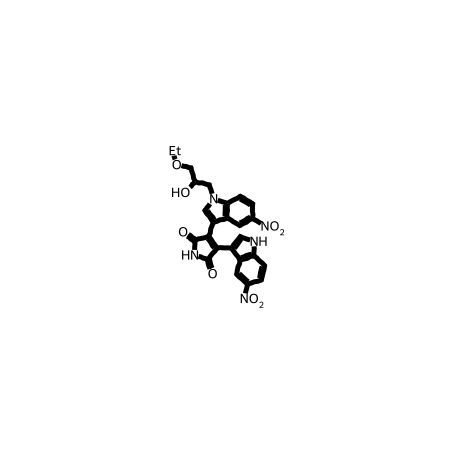 CCOCC(O)Cn1cc(C2=C(c3c[nH]c4ccc([N+](=O)[O-])cc34)C(=O)NC2=O)c2cc([N+](=O)[O-])ccc21